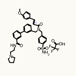 COc1ccc(/C=C/C(=O)N(Cc2ccc(S(N)(=O)=O)cc2)Cc2cccc(-c3cccc(C(=O)NCCN4CCCC4)c3)c2)cc1.O=C(O)C(F)(F)F